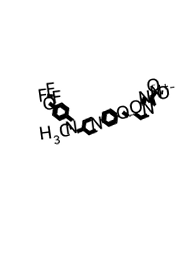 CN(Cc1ccc(OC(F)(F)F)cc1)CC1CCN(c2ccc(OC[C@H]3CCn4cc([N+](=O)[O-])nc4O3)cc2)CC1